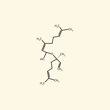 C=C[C@@](C)(CCC=C(C)C)OC(O)/C=C(/C)CCC=C(C)C